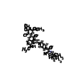 CNc1ncc2cc(-c3cc(OC)cc(OC)c3Cl)c(=O)n(CCN3CC4CN(C(=O)/C(C#N)=C/C(C)(C)C)CC4C3)c2n1